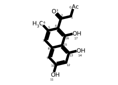 CC(=O)CC(=O)c1c(C)cc2cc(O)cc(O)c2c1O